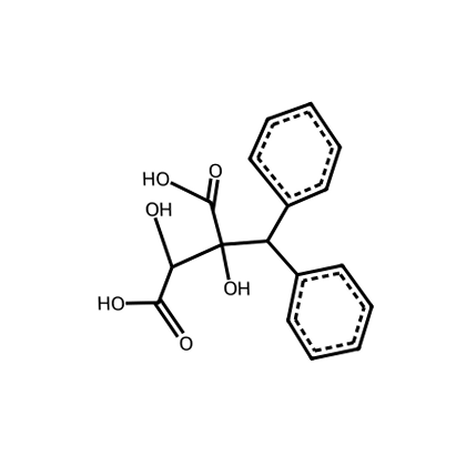 O=C(O)C(O)C(O)(C(=O)O)C(c1ccccc1)c1ccccc1